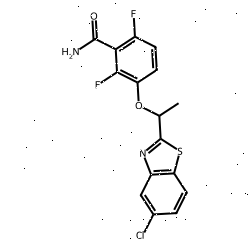 CC(Oc1ccc(F)c(C(N)=O)c1F)c1nc2cc(Cl)ccc2s1